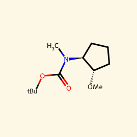 CO[C@H]1CCC[C@@H]1N(C)C(=O)OC(C)(C)C